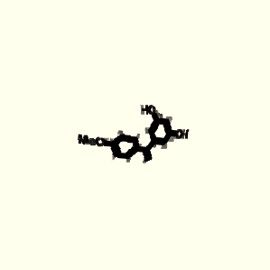 C=C(c1ccc(OC)cc1)c1cc(O)cc(O)c1